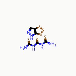 NC(=S)NC(=S)NC(N)=S.c1n[nH]c2c1SSS2